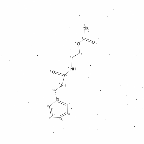 CC(C)(C)C(=O)OCCNC(=O)NCc1ccccc1